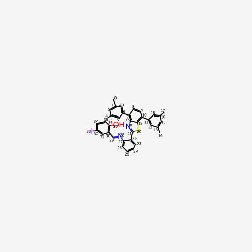 Cc1cc(C)cc(-c2ccc(-c3cc(C)cc(C)c3)c3sc(-c4ccccc4/N=C/c4cc(I)ccc4O)nc23)c1